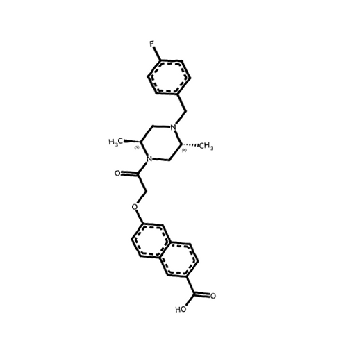 C[C@@H]1CN(C(=O)COc2ccc3cc(C(=O)O)ccc3c2)[C@@H](C)CN1Cc1ccc(F)cc1